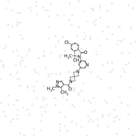 Cc1c(C(=O)N2CC3(C2)CN(c2cncc(N4C(=O)c5ccc(Cl)cc5C4(C)C)c2)C3)cnn1C